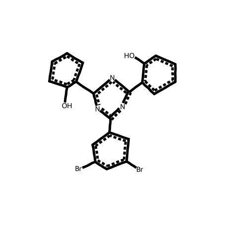 Oc1ccccc1-c1nc(-c2cc(Br)cc(Br)c2)nc(-c2ccccc2O)n1